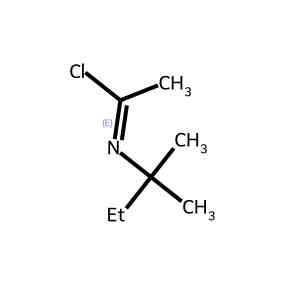 CCC(C)(C)/N=C(\C)Cl